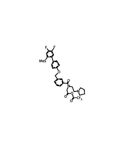 CSc1cc(F)c(F)cc1-c1ccc(OCc2cccc(C(=O)N(CCN3CCCC3)CC(=O)OC(=O)C(F)(F)F)c2)cc1